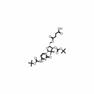 CC(C)(C)OC(=O)Nc1ccn([C@@H]2O[C@H](COC(=O)CCC(=O)O)[C@@H](OC(=O)OC(C)(C)C)C2(F)F)c(=O)n1